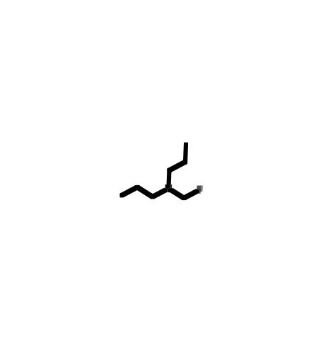 CCCN(CF)CCC